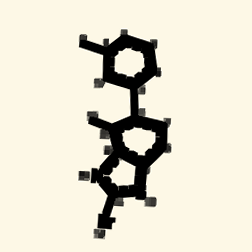 Cc1cccc(-c2ccc3sc(Br)nc3c2C)c1